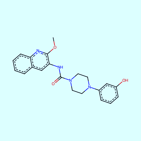 COc1nc2ccccc2cc1NC(=O)N1CCN(c2cccc(O)c2)CC1